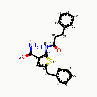 NC(=O)c1cc(Cc2ccccc2)sc1NC(=O)CCc1ccccc1